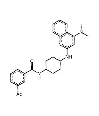 CC(=O)c1cccc(C(=O)NC2CCC(Nc3cc(N(C)C)c4ccccc4n3)CC2)c1